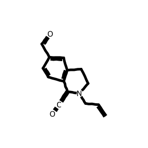 C=CCN1CCc2cc(C=O)ccc2C1=C=O